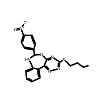 CCCCSc1nnc2c(n1)OC(c1ccc([N+](=O)[O-])cc1)Nc1ccccc1-2